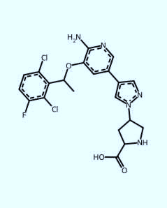 CC(Oc1cc(-c2cnn(C3CNC(C(=O)O)C3)c2)cnc1N)c1c(Cl)ccc(F)c1Cl